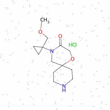 COCC1(N2CC3(CCNCC3)OCC2=O)CC1.Cl